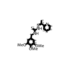 COc1cc(CNC(=S)NN=C(C)c2ccccn2)cc(OC)c1OC